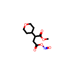 COC(=O)C(CC(=O)ON=O)C1CCOCC1